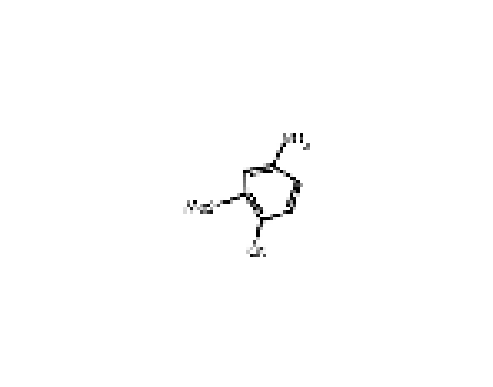 CSc1cc([N+](=O)[O-])ccc1C#N